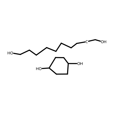 OC1CCC(O)CC1.OCCCCCCCCCCO